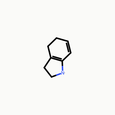 C1=CC2=C(CC1)CC[N]2